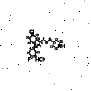 Cl.Fc1ccc(-n2cc(CCCC3CCNCC3)c3cc(Cl)ccc32)cc1